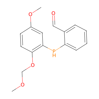 COCOc1ccc(OC)cc1Pc1ccccc1C=O